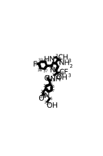 CC1(N)CNc2c1cc(C(O)(CNC(=O)c1ccc3c(c1)CC(=O)N3CCO)C(F)(F)F)nc2-c1ccc(F)cc1